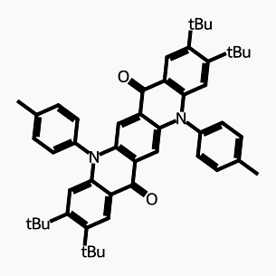 Cc1ccc(-n2c3cc(C(C)(C)C)c(C(C)(C)C)cc3c(=O)c3cc4c(cc32)c(=O)c2cc(C(C)(C)C)c(C(C)(C)C)cc2n4-c2ccc(C)cc2)cc1